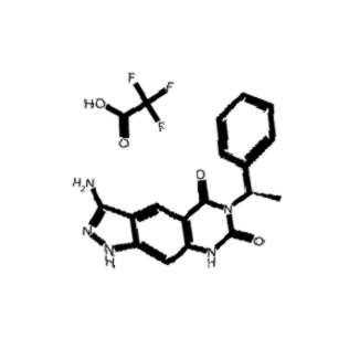 C[C@H](c1ccccc1)n1c(=O)[nH]c2cc3[nH]nc(N)c3cc2c1=O.O=C(O)C(F)(F)F